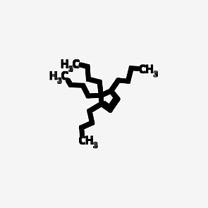 CCCCC1=C=CC(CCCC)C1(CCCC)CCCC